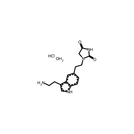 Cl.NCCc1c[nH]c2ccc(CCN3CC(=O)NC3=O)cc12.O